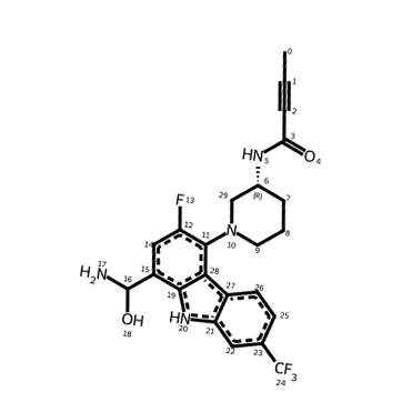 CC#CC(=O)N[C@@H]1CCCN(c2c(F)cc(C(N)O)c3[nH]c4cc(C(F)(F)F)ccc4c23)C1